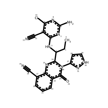 CCC(Nc1nc(N)nc(Cl)c1C#N)c1nc2c(C#N)cccc2c(=O)n1-c1cc[nH]n1